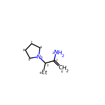 C=C(N)C(CC)N1CCCC1